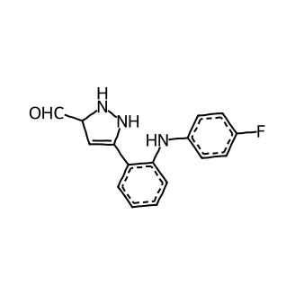 O=CC1C=C(c2ccccc2Nc2ccc(F)cc2)NN1